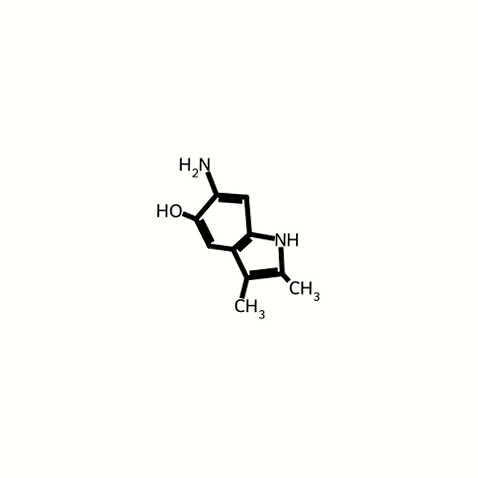 Cc1[nH]c2cc(N)c(O)cc2c1C